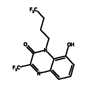 O=c1c(C(F)(F)F)nc2cccc(O)c2n1CCCC(F)(F)F